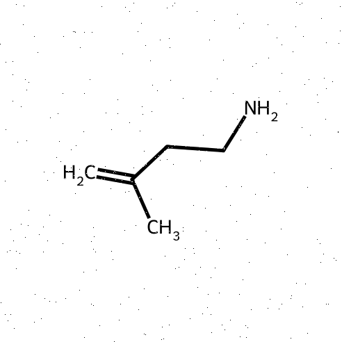 C=C(C)CCN